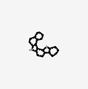 c1ccc2c(c1)ccc1[nH]c3ccc4c5ccccc5sc4c3c12